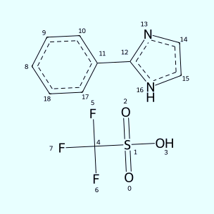 O=S(=O)(O)C(F)(F)F.c1ccc(-c2ncc[nH]2)cc1